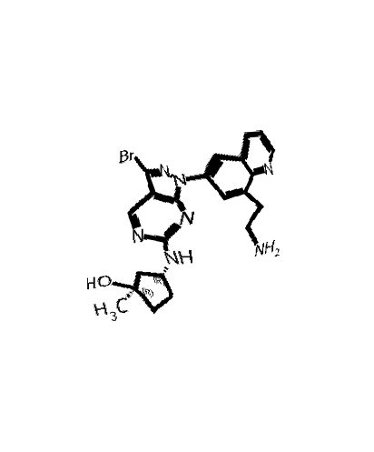 C[C@@]1(O)CC[C@@H](Nc2ncc3c(Br)nn(-c4cc(CCN)c5ncccc5c4)c3n2)C1